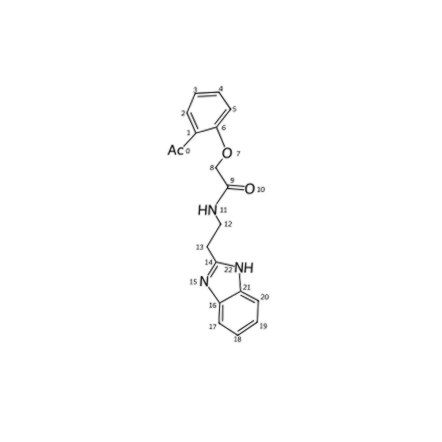 CC(=O)c1ccccc1OCC(=O)NCCc1nc2ccccc2[nH]1